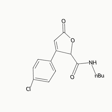 CCCCNC(=O)C1OC(=O)C=C1c1ccc(Cl)cc1